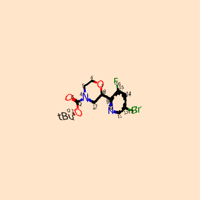 CC(C)(C)OC(=O)N1CCOC(c2ncc(Br)cc2F)C1